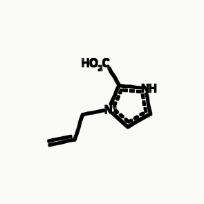 C=CC[n+]1cc[nH]c1C(=O)O